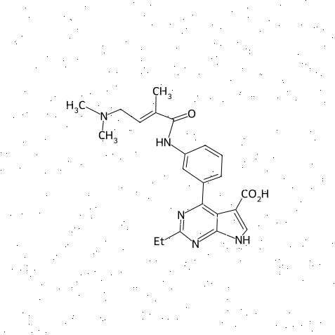 CCc1nc(-c2cccc(NC(=O)C(C)=CCN(C)C)c2)c2c(C(=O)O)c[nH]c2n1